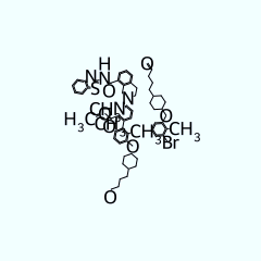 Cc1c(Br)cccc1OC1CCC(CCCC=O)CC1.Cc1c(OC2CCC(CCCC=O)CC2)cccc1-c1ccc(N2CCc3cccc(C(=O)Nc4nc5ccccc5s4)c3C2)nc1C(=O)OC(C)(C)C